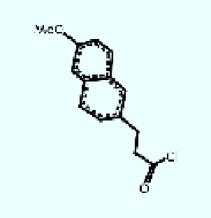 COc1ccc2cc(CCC(=O)Cl)ccc2c1